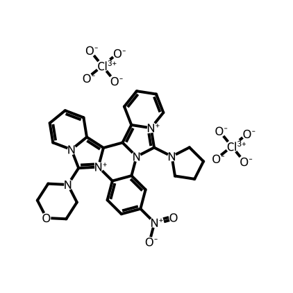 O=[N+]([O-])c1ccc2c(c1)n1c(N3CCCC3)[n+]3ccccc3c1c1c3ccccn3c(N3CCOCC3)[n+]21.[O-][Cl+3]([O-])([O-])[O-].[O-][Cl+3]([O-])([O-])[O-]